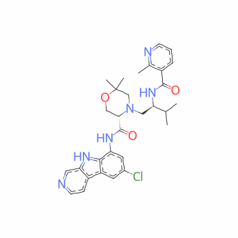 Cc1ncccc1C(=O)N[C@H](CN1CC(C)(C)OC[C@H]1C(=O)Nc1cc(Cl)cc2c1[nH]c1cnccc12)C(C)C